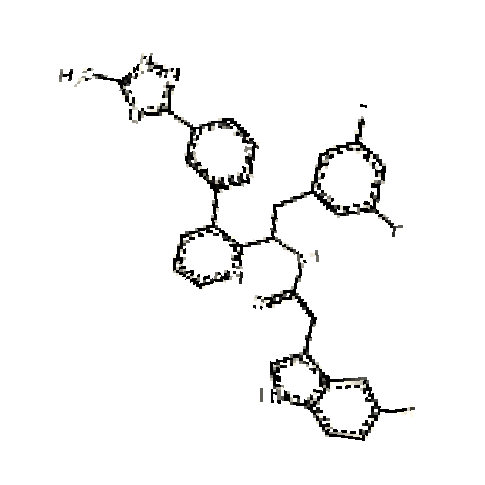 Cc1nnc(-c2cccc(-c3cccnc3C(Cc3cc(F)cc(F)c3)NC(=O)Cc3c[nH]c4ccc(F)cc34)c2)o1